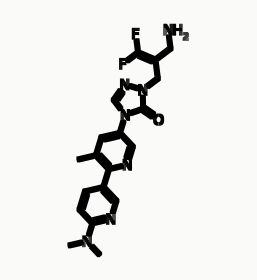 Cc1cc(-n2cnn(CC(CN)=C(F)F)c2=O)cnc1-c1ccc(N(C)C)nc1